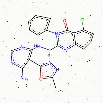 Cc1nnc(-c2c(N)ncnc2N[C@@H](C)c2nc3cccc(Cl)c3c(=O)n2-c2ccccc2)o1